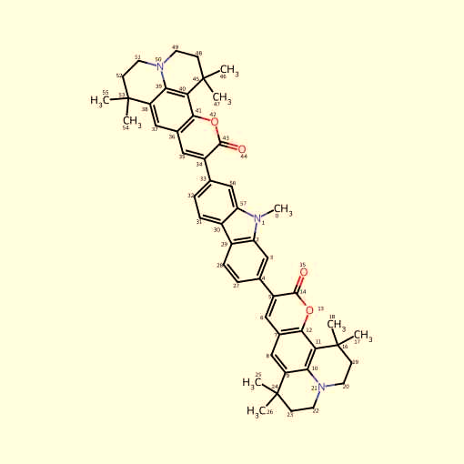 Cn1c2cc(-c3cc4cc5c6c(c4oc3=O)C(C)(C)CCN6CCC5(C)C)ccc2c2ccc(-c3cc4cc5c6c(c4oc3=O)C(C)(C)CCN6CCC5(C)C)cc21